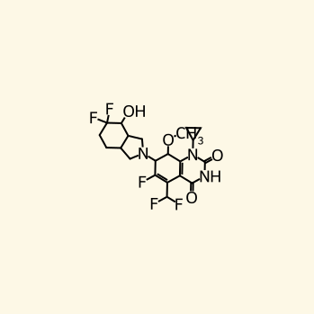 COC1c2c(c(=O)[nH]c(=O)n2C2CC2)C(C(F)F)=C(F)C1N1CC2CCC(F)(F)C(O)C2C1